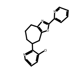 Clc1cccnc1C1CCCc2nc(-c3ccccn3)oc2C1